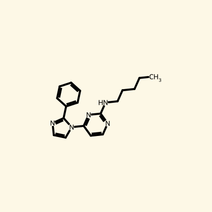 CCCCCNc1nccc(-n2ccnc2-c2ccccc2)n1